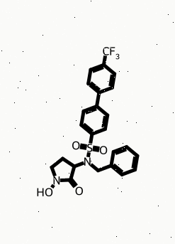 O=C1C(N(Cc2ccccc2)S(=O)(=O)c2ccc(-c3ccc(C(F)(F)F)cc3)cc2)CCN1O